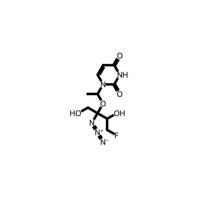 CC(OC(CO)(N=[N+]=[N-])C(O)CF)n1ccc(=O)[nH]c1=O